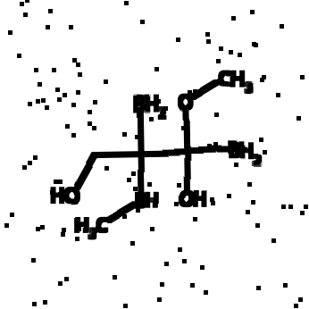 BC(BC)(CO)C(B)(O)OC